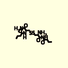 CCCC(=O)NC(=O)[C@@H](N)CSSCC(NC(=O)CCC)C(N)=O